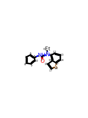 CCN(C(=O)Nc1ccccc1)c1cccc2sccc12